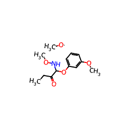 CCC(=O)C(NOC)Oc1cccc(OC)c1.C[O]